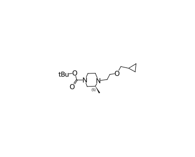 C[C@H]1CN(C(=O)OC(C)(C)C)CCN1CCOCC1CC1